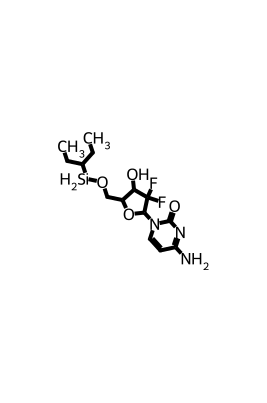 CCC(CC)[SiH2]OCC1OC(n2ccc(N)nc2=O)C(F)(F)C1O